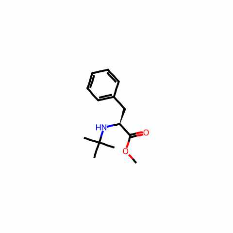 COC(=O)[C@H](Cc1ccccc1)NC(C)(C)C